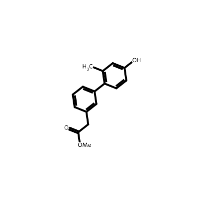 COC(=O)Cc1cccc(-c2ccc(O)cc2C)c1